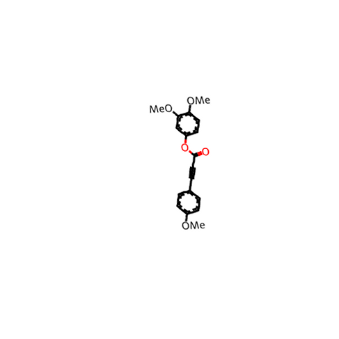 COc1ccc(C#CC(=O)Oc2ccc(OC)c(OC)c2)cc1